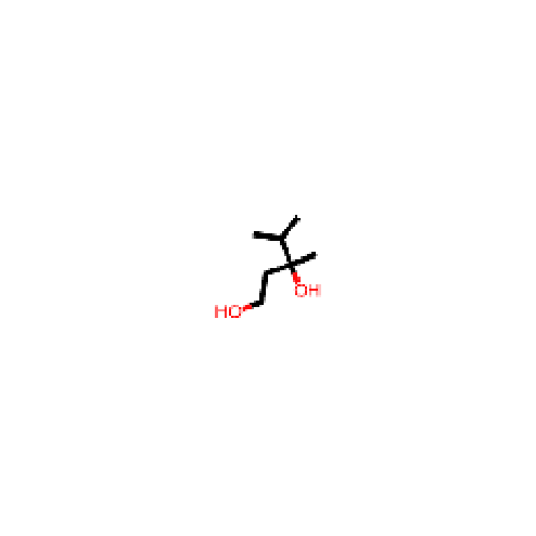 CC(C)C(C)(O)CCO